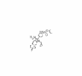 CCC(C)OC(=O)Nc1ccc(-c2c(N)c3ccc(OC(F)F)cc3n2CC2CC2)cc1